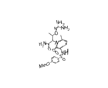 COc1ccc(S(=O)(=O)Nc2ccc(C)n(C(C(N)=O)C(C)ON=C(N)N)c2=O)cc1